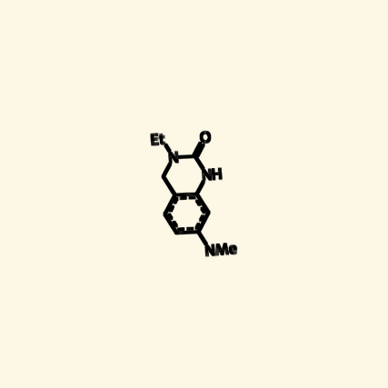 CCN1Cc2ccc(NC)cc2NC1=O